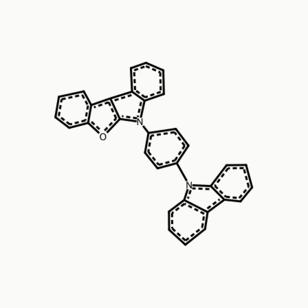 c1ccc2c(c1)oc1c2c2ccccc2n1-c1ccc(-n2c3ccccc3c3ccccc32)cc1